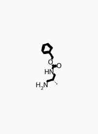 C[C@H](CN)CNC(=O)OCc1ccccc1